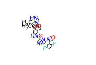 CC(C)(C)C1CNCCN1C(=O)Oc1ccc(NC(=O)c2cnn3ccc(N4CCOCC4c4cc(F)ccc4F)nc23)cc1